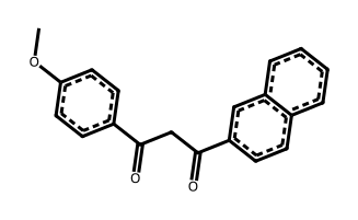 COc1ccc(C(=O)CC(=O)c2ccc3ccccc3c2)cc1